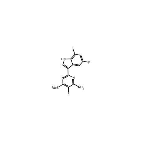 CSc1nc(-c2c[nH]c3c(I)cc(F)cc23)nc(N)c1F